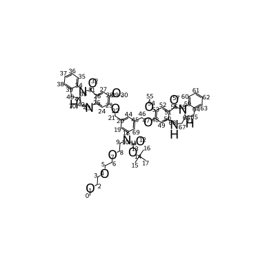 COCCOCCOCCN(C(=O)OC(C)(C)C)c1cc(COc2cc3c(cc2OC)C(=O)N2c4ccccc4C[C@H]2C=N3)cc(COc2cc3c(cc2OC)C(=O)N2c4ccccc4C[C@H]2CN3)c1